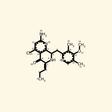 CC/C=C1/NC(Cc2ncc(C)c(OC)c2C)c2nc(N)cc(Cl)c2C1=O